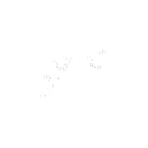 CC(C)C(NC(=O)CCCCCN(C)C(=O)CCC=O)C(=O)NCC(=O)Nc1ccc(CO)cc1